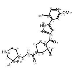 COc1cc(-c2cc(C(=O)N3CC[C@H](C(=O)NC[C@@H]4CCNCC4(F)F)CC34CC4)n[nH]2)c(F)cn1